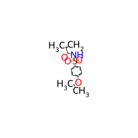 C=C(C)C(=O)NS(=O)(=O)c1ccc(OC(C)C)cc1